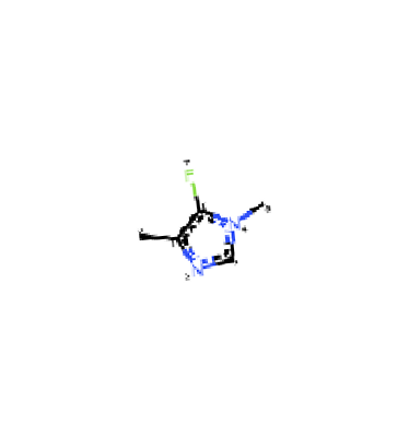 Cc1ncn(C)c1F